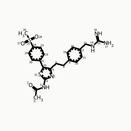 CC(=O)Nc1nc(CCc2ccc(CNC(=N)N)cc2)c(-c2ccc(S(C)(=O)=O)cc2)s1